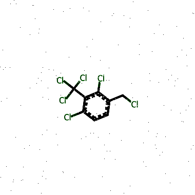 ClCc1ccc(Cl)c(C(Cl)(Cl)Cl)c1Cl